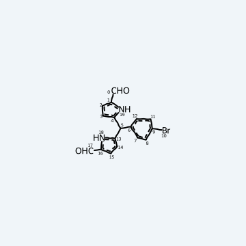 O=Cc1ccc(C(c2ccc(Br)cc2)c2ccc(C=O)[nH]2)[nH]1